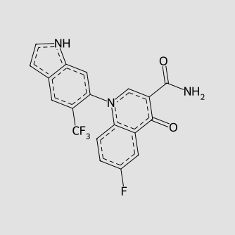 NC(=O)c1cn(-c2cc3[nH]ccc3cc2C(F)(F)F)c2ccc(F)cc2c1=O